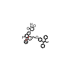 CCC(=C(c1ccccc1)c1ccc(OCCN2CCC(CN3C4CC3CN(c3cc5c(cc3F)CN(C3CCC(=O)NC3=O)C5)C4)CC2)cc1)c1ccccc1